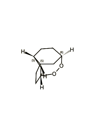 C1C[C@H]2C[C@H]3CC[C@H]2C[C@@H]1OO3